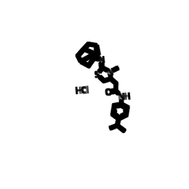 CC(C)c1ccc(NC(=O)CC2CSC(=NC34CC5CC(CC(C5)C3)C4)N2C)cc1.Cl